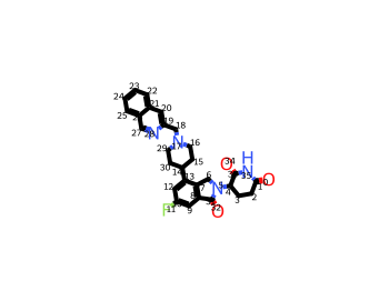 O=C1CCC(N2Cc3c(cc(F)cc3C3CCN(Cc4cc5ccccc5cn4)CC3)C2=O)C(=O)N1